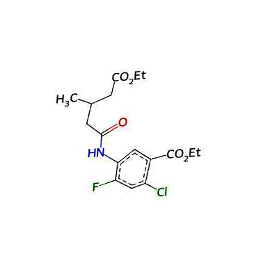 CCOC(=O)CC(C)CC(=O)Nc1cc(C(=O)OCC)c(Cl)cc1F